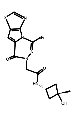 CC(C)c1nn(CC(=O)N[C@H]2C[C@@](C)(O)C2)c(=O)c2cc3scnc3n12